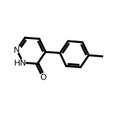 Cc1ccc(-c2ccn[nH]c2=O)cc1